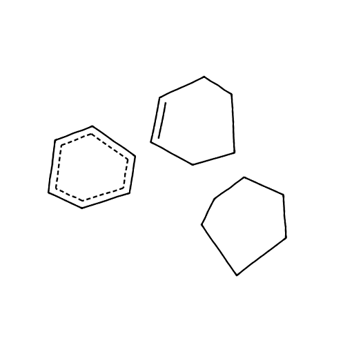 C1=CCCCC1.C1CCCCC1.c1ccccc1